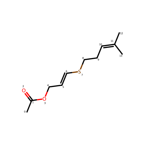 CC(=O)OCC=CSCCC=C(C)C